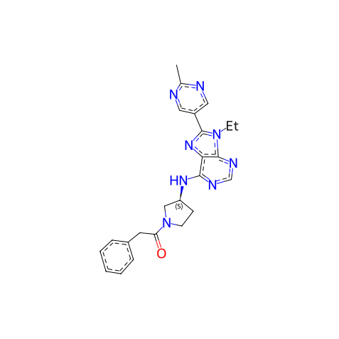 CCn1c(-c2cnc(C)nc2)nc2c(N[C@H]3CCN(C(=O)Cc4ccccc4)C3)ncnc21